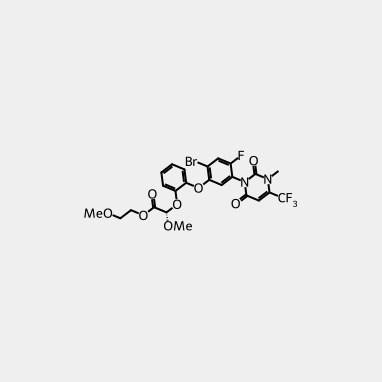 COCCOC(=O)[C@@H](OC)Oc1ccccc1Oc1cc(-n2c(=O)cc(C(F)(F)F)n(C)c2=O)c(F)cc1Br